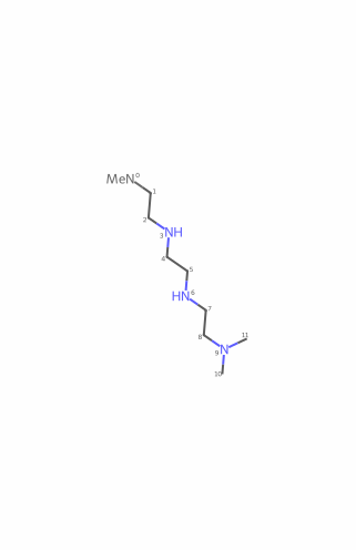 CNCCNCCNCCN(C)C